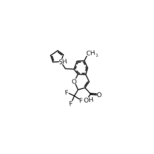 Cc1cc2c(c(C[SH]3C=CC=C3)c1)OC(C(F)(F)F)C(C(=O)O)=C2